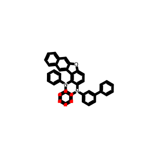 c1ccc(-c2cccc(N(c3ccccc3)c3ccc4oc5cc6ccccc6cc5c4c3N(c3ccccc3)c3ccccc3)c2)cc1